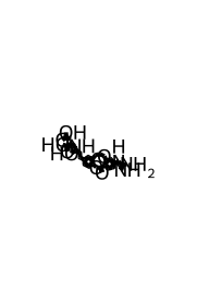 N=C(N)Nc1ccc2c(c1)OCCc1cc(CCC(O)N[C@@H](CC(=O)O)C(=O)O)ccc1OC2=O